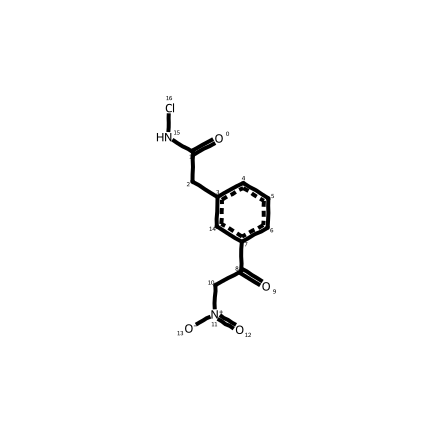 O=C(Cc1cccc(C(=O)C[N+](=O)[O-])c1)NCl